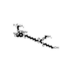 CCCCCCCCCCCCCCCCC(=O)OCC(COOCCN)OC(=O)CCCCCCCCC(=O)O[C@@H]1CC[C@](O)(CCl)[C@@H](C(C)(C)OCC=C(C)C)[C@@H]1OC